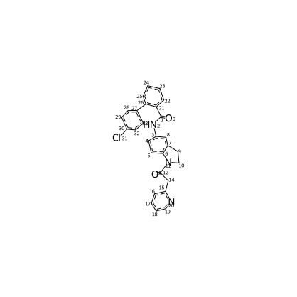 O=C(Nc1ccc2c(c1)CCN2C(=O)Cc1ccccn1)c1ccccc1-c1ccc(Cl)cc1